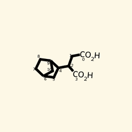 O=C(O)CC(C(=O)O)C1CC2CCC1C2